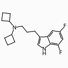 Fc1cc(F)c2[nH]cc(CCCN(C3CCC3)C3CCC3)c2c1